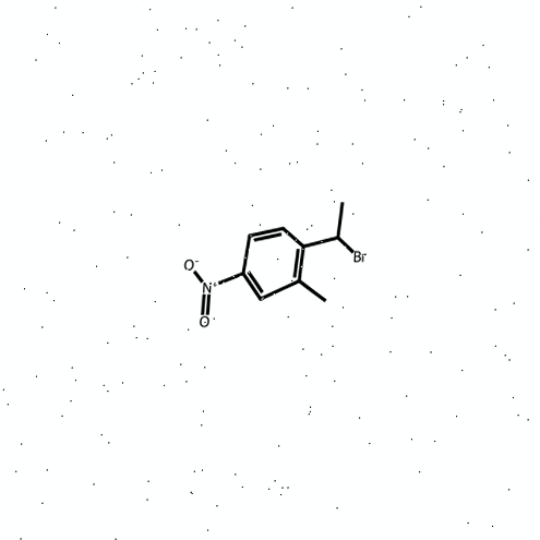 Cc1cc([N+](=O)[O-])ccc1C(C)Br